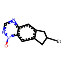 CCC1Cc2cc3ncn[n+]([O-])c3cc2C1